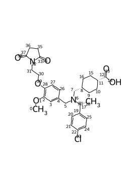 COc1cc(CN(C[C@H]2CC[C@@H](C(=O)O)CC2)[C@H](C)c2ccc(Cl)cc2)ccc1OCCN1C(=O)CCC1=O